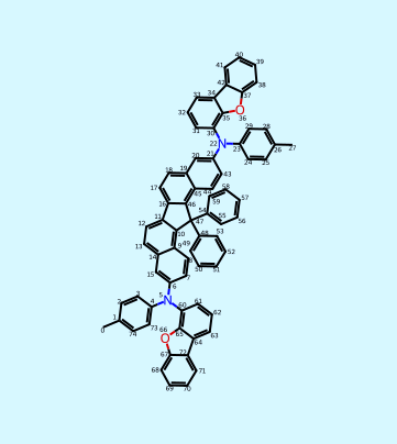 Cc1ccc(N(c2ccc3c4c(ccc3c2)-c2ccc3cc(N(c5ccc(C)cc5)c5cccc6c5oc5ccccc56)ccc3c2C4(c2ccccc2)c2ccccc2)c2cccc3c2oc2ccccc23)cc1